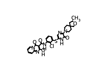 C[C@H]1CC2(CCN(c3ncc(Sc4cccc(NC(=O)c5c(O)nc6ccccn6c5=O)c4Cl)[nH]c3=O)CC2)CO1